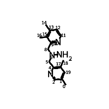 Cc1cnc(CN(N)Cc2nccc(C)c2C)c(C)c1